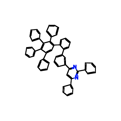 c1ccc(-c2cc(-c3cccc(-c4ccccc4-c4cc(-c5ccccc5)c(-c5ccccc5)c(-c5ccccc5)c4-c4ccccc4)c3)nc(-c3ccccc3)n2)cc1